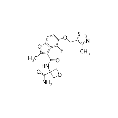 Cc1ncsc1COc1ccc2oc(C)c(C(=O)NC3(C(N)=O)COC3)c2c1F